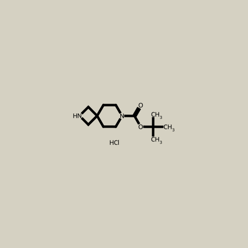 CC(C)(C)OC(=O)N1CCC2(CC1)CNC2.Cl